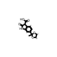 CC1(c2ccc3c(c2)NC(=O)C3C(=O)O)OCCO1